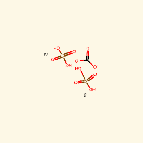 O=C([O-])[O-].O=S(=O)(O)O.O=S(=O)(O)O.[K+].[K+]